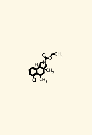 CCOC(=O)N1C[C@H]2c3cccc(Cl)c3[C@H](C)C[C@@]2(C)C1